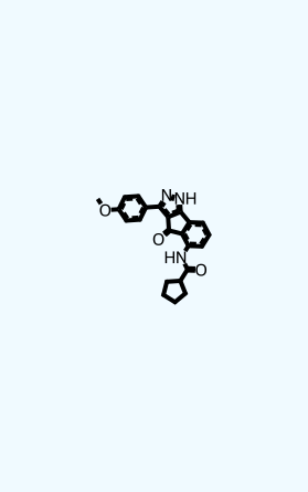 COc1ccc(-c2n[nH]c3c2C(=O)c2c(NC(=O)C4CCCC4)cccc2-3)cc1